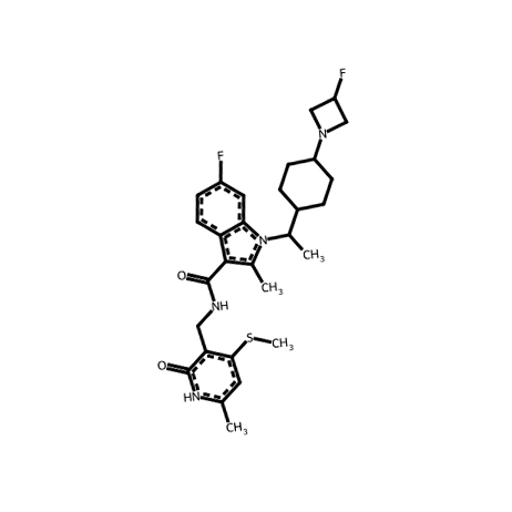 CSc1cc(C)[nH]c(=O)c1CNC(=O)c1c(C)n(C(C)C2CCC(N3CC(F)C3)CC2)c2cc(F)ccc12